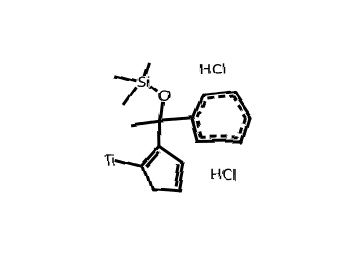 CC(O[Si](C)(C)C)(C1=[C]([Ti])CC=C1)c1ccccc1.Cl.Cl